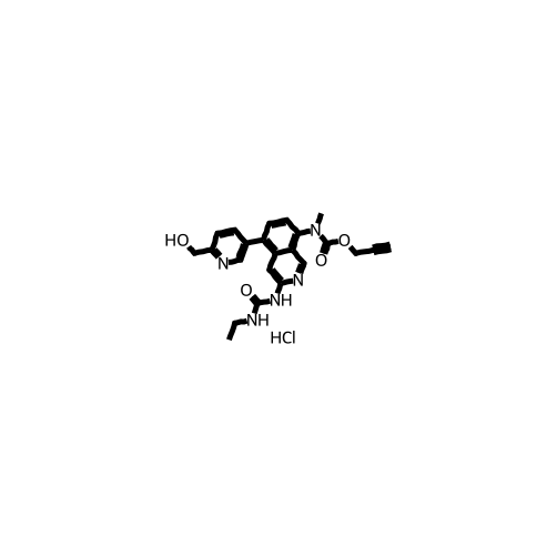 C#CCOC(=O)N(C)c1ccc(-c2ccc(CO)nc2)c2cc(NC(=O)NCC)ncc12.Cl